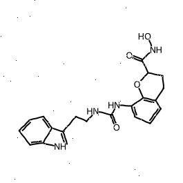 O=C(NCCc1c[nH]c2ccccc12)Nc1cccc2c1OC(C(=O)NO)CC2